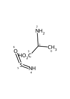 CC(N)C(=O)O.N=S=O